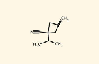 C=C1CC(C#N)(C(C)C)C1